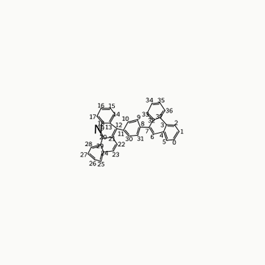 c1ccc2c(c1)cc(-c1ccc(-c3c4ccccc4nc4c3ccc3ccccc34)cc1)c1ccccc12